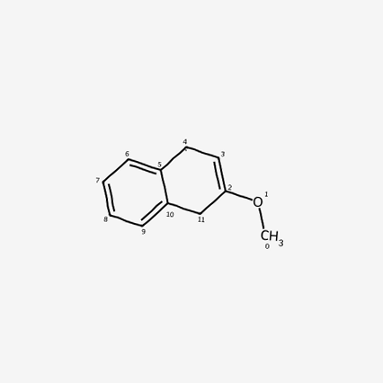 COC1=C[CH]c2ccccc2C1